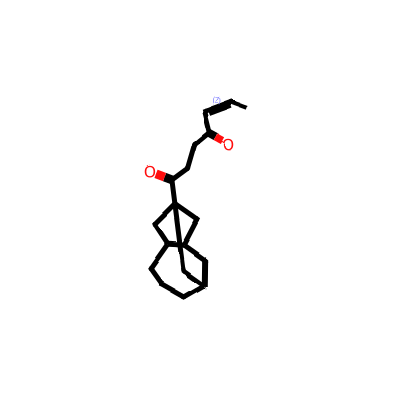 C/C=C\C(=O)CCC(=O)C12CC3CCCC(C1)C(C3)C2